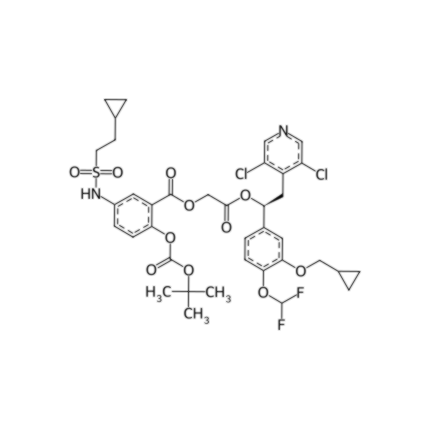 CC(C)(C)OC(=O)Oc1ccc(NS(=O)(=O)CCC2CC2)cc1C(=O)OCC(=O)O[C@@H](Cc1c(Cl)cncc1Cl)c1ccc(OC(F)F)c(OCC2CC2)c1